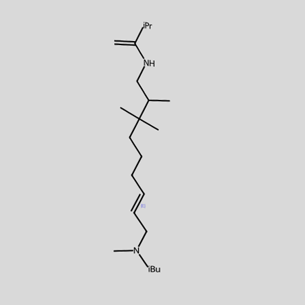 C=C(NCC(C)C(C)(C)CCC/C=C/CN(C)C(C)CC)C(C)C